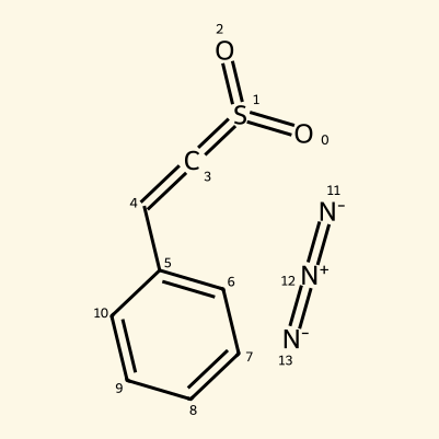 O=S(=O)=C=Cc1ccccc1.[N-]=[N+]=[N-]